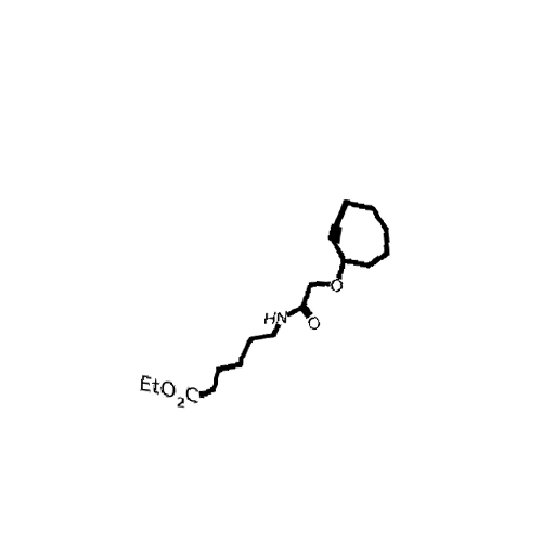 CCOC(=O)CCCCCNC(=O)COC1C#CCCCCC1